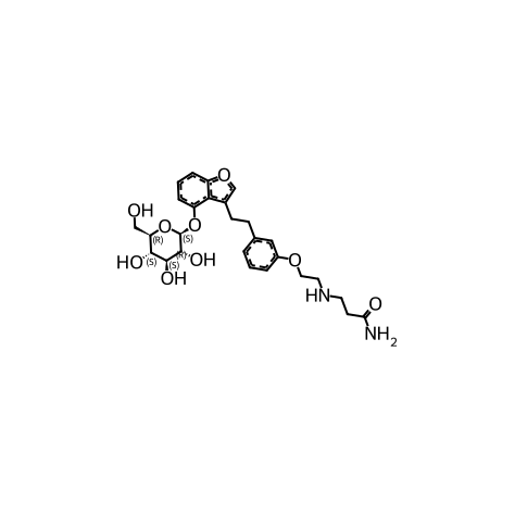 NC(=O)CCNCCOc1cccc(CCc2coc3cccc(O[C@@H]4O[C@H](CO)[C@@H](O)[C@H](O)[C@H]4O)c23)c1